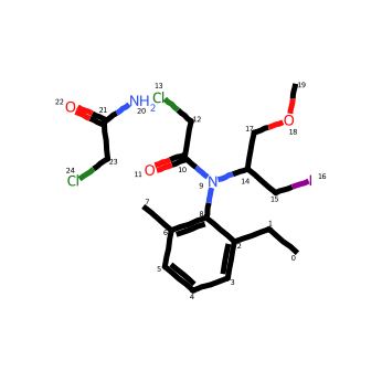 CCc1cccc(C)c1N(C(=O)CCl)C(CI)COC.NC(=O)CCl